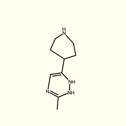 CC1=NC=C(C2CCNCC2)NN1